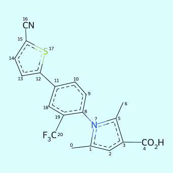 Cc1cc(C(=O)O)c(C)n1-c1ccc(-c2ccc(C#N)s2)cc1C(F)(F)F